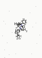 CC(=N)C(=C(/N)NCC(=O)N1CCCC1)/C(Cl)=C(\N)c1ccccc1